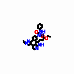 CCOC(=O)CCc1cc2c(-c3cn(CC)nc3-c3ccc(NC(=O)Nc4ccccc4)cc3)ccnc2[nH]1